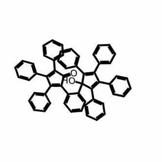 O=C1C(c2ccccc2)=C(c2ccccc2)C(c2ccccc2)=C1c1ccccc1C1(O)C(c2ccccc2)=C(c2ccccc2)C(c2ccccc2)=C1c1ccccc1